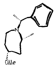 CO[C@@H]1CCN([C@H](C)c2ccccc2)[C@H](C)C1